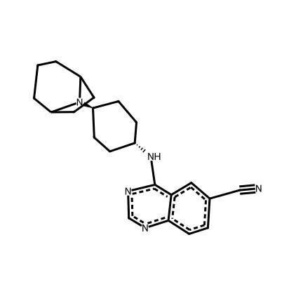 N#Cc1ccc2ncnc(N[C@H]3CC[C@H](N4C5CCCC4CC5)CC3)c2c1